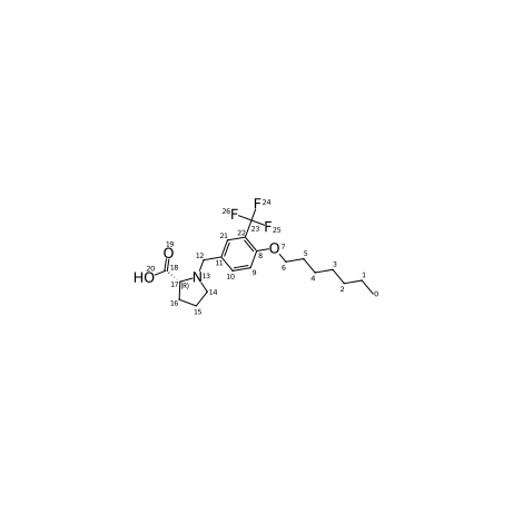 CCCCCCCOc1ccc(CN2CCC[C@@H]2C(=O)O)cc1C(F)(F)F